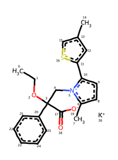 CCOC(Cn1c(C)ccc1-c1cc(C)cs1)(C(=O)[O-])c1ccccc1.[K+]